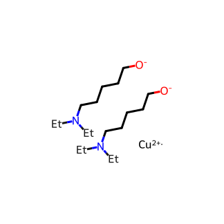 CCN(CC)CCCCC[O-].CCN(CC)CCCCC[O-].[Cu+2]